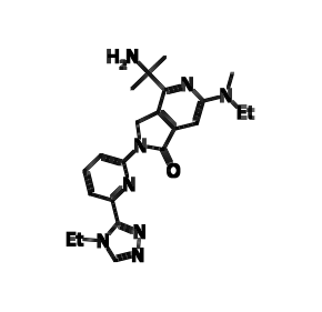 CCN(C)c1cc2c(c(C(C)(C)N)n1)CN(c1cccc(-c3nncn3CC)n1)C2=O